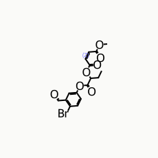 CCC(OC(=O)/C=C\C(=O)OC)C(=O)Oc1ccc(Br)c(C=O)c1